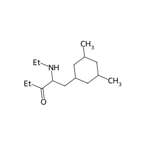 CCNC(CC1CC(C)CC(C)C1)C(=O)CC